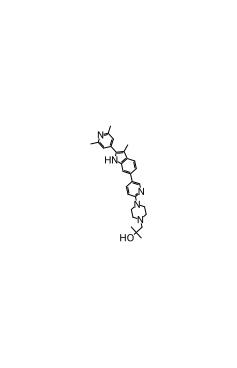 Cc1cc(-c2[nH]c3cc(-c4ccc(N5CCN(CC(C)(C)O)CC5)nc4)ccc3c2C)cc(C)n1